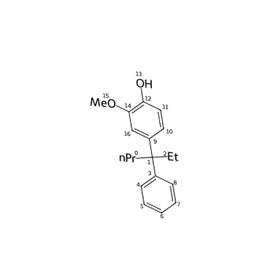 CCCC(CC)(c1ccccc1)c1ccc(O)c(OC)c1